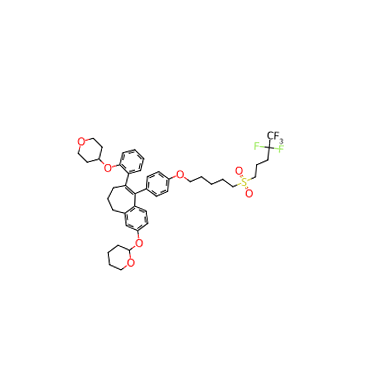 O=S(=O)(CCCCCOc1ccc(C2=C(c3ccccc3OC3CCOCC3)CCCc3cc(OC4CCCCO4)ccc32)cc1)CCCC(F)(F)C(F)(F)F